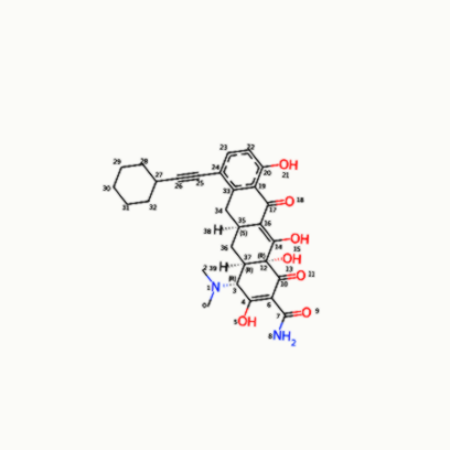 CN(C)[C@H]1C(O)=C(C(N)=O)C(=O)[C@]2(O)C(O)=C3C(=O)c4c(O)ccc(C#CC5CCCCC5)c4C[C@@H]3C[C@H]12